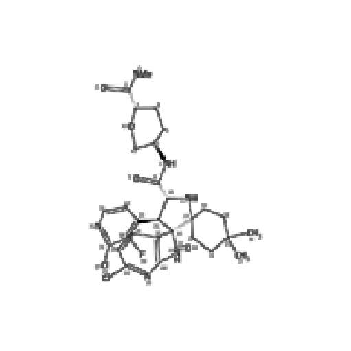 CNC(=O)[C@@H]1CC[C@@H](NC(=O)[C@@H]2NC3(CCC(C)(C)CC3)[C@@]3(C(=O)Nc4nc(Cl)ccc43)[C@H]2c2ccnc(Cl)c2F)CO1